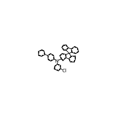 Clc1cccc(N(c2ccc(-c3ccccc3)cc2)c2ccc3c(c2)-c2ccccc2C32c3ccccc3-c3ccccc32)c1